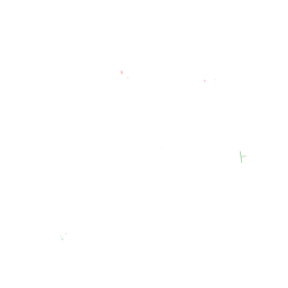 COC(=O)c1c(F)ccc(Br)c1C